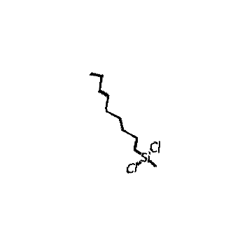 CCCCCCCCC[Si](C)(Cl)Cl